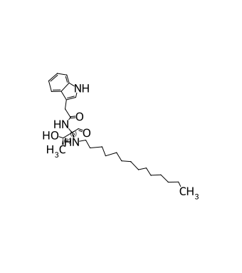 CCCCCCCCCCCCCCN[C@](C=O)(NC(=O)Cc1c[nH]c2ccccc12)[C@@H](C)O